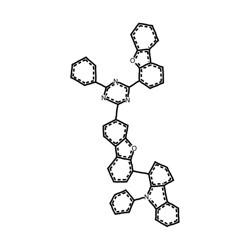 c1ccc(-c2nc(-c3ccc4c(c3)oc3c(-c5cccc6c7ccccc7n(-c7ccccc7)c56)cccc34)nc(-c3cccc4c3oc3ccccc34)n2)cc1